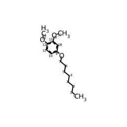 CCCCCCCCOc1ccc(OC)c(OC)c1